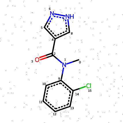 CN(C(=O)c1cn[nH]c1)c1ccccc1Cl